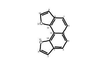 c1cc2ccc3ccc4ccoc4c3c2o1